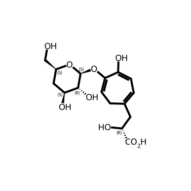 O=C(O)[C@H](O)CC1=CC=C(O)C(O[C@@H]2O[C@H](CO)C[C@H](O)[C@H]2O)=CC1